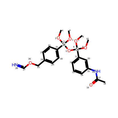 CO[Si](OC)(O[Si](OC)(OC)c1cccc(NC(C)=O)c1)c1ccc(COC=N)cc1